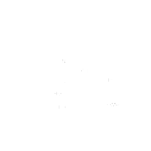 COc1cc(C)c(C(O)(c2ccccc2)C(C)N2CCCCC2)cc1C(C)C